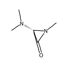 CN(C)[C@H]1C(=O)N1C